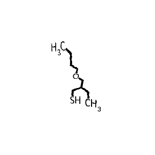 CCCCOCC(CC)CS